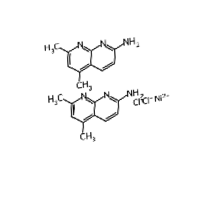 Cc1cc(C)c2ccc(N)nc2n1.Cc1cc(C)c2ccc(N)nc2n1.[Cl-].[Cl-].[Ni+2]